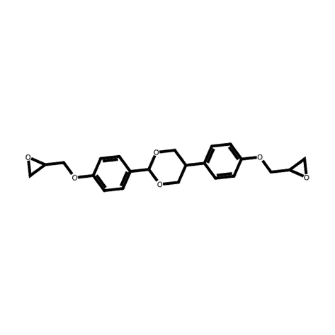 c1cc(C2COC(c3ccc(OCC4CO4)cc3)OC2)ccc1OCC1CO1